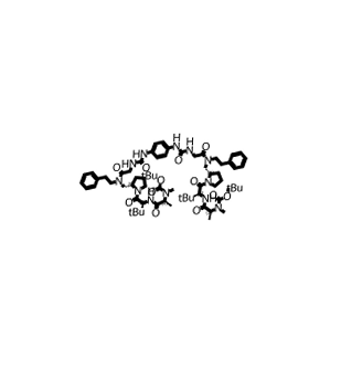 C[C@@H](C(=O)N[C@H](C(=O)N1CCC[C@H]1CN(CCc1ccccc1)C(=O)CNC(=O)Nc1ccc(NC(=O)NCC(=O)N(CCc2ccccc2)C[C@@H]2CCCN2C(=O)[C@@H](NC(=O)[C@H](C)N(C)C(=O)OC(C)(C)C)C(C)(C)C)cc1)C(C)(C)C)N(C)C(=O)OC(C)(C)C